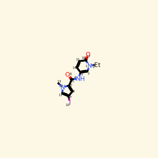 CCn1cc(NC(=O)c2cc(I)cn2C)ccc1=O